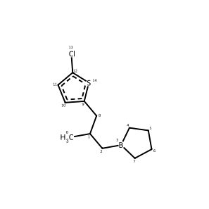 CC(CB1CCCC1)Cc1ccc(Cl)s1